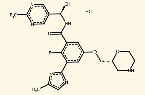 Cc1cnc(-c2cc(OC[C@H]3CNCCO3)cc(C(=O)N[C@H](C)c3cnc(C(F)(F)F)nc3)c2F)s1.Cl